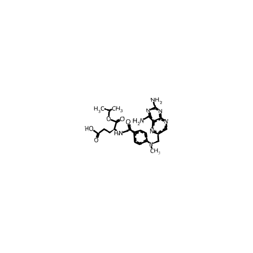 CC(C)OC(=O)[C@H](CCC(=O)O)NC(=O)c1ccc(N(C)Cc2cnc3nc(N)nc(N)c3n2)cc1